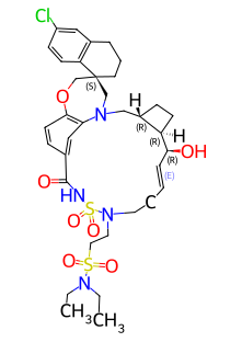 CCN(CC)S(=O)(=O)CCN1CC/C=C/[C@H](O)[C@@H]2CC[C@H]2CN2C[C@@]3(CCCc4cc(Cl)ccc43)COc3ccc(cc32)C(=O)NS1(=O)=O